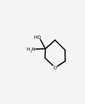 NC1(O)CCCOC1